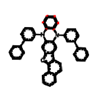 c1ccc(-c2cccc(N(c3ccccc3)c3cc4oc5c6ccccc6ccc5c4cc3N(c3ccccc3)c3cccc(-c4ccccc4)c3)c2)cc1